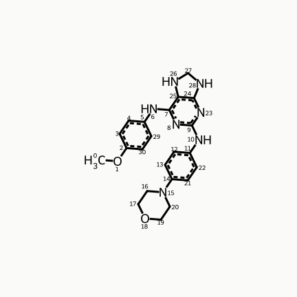 COc1ccc(Nc2nc(Nc3ccc(N4CCOCC4)cc3)nc3c2NCN3)cc1